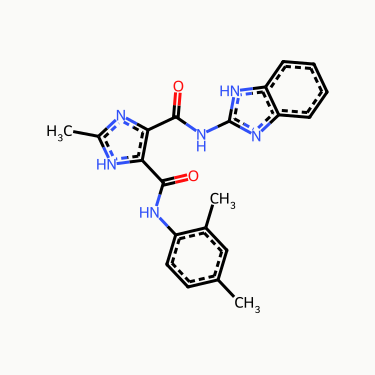 Cc1ccc(NC(=O)c2[nH]c(C)nc2C(=O)Nc2nc3ccccc3[nH]2)c(C)c1